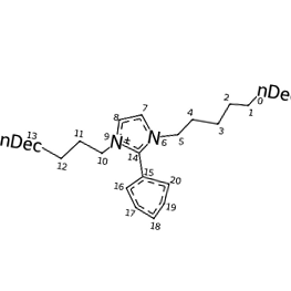 CCCCCCCCCCCCCCCn1cc[n+](CCCCCCCCCCCCC)c1-c1ccccc1